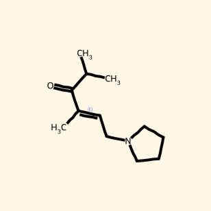 C/C(=C\CN1CCCC1)C(=O)C(C)C